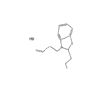 Br.CCCC1Sc2ccccc2N1CCC=O